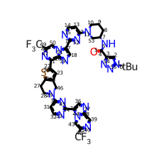 CC(C)(C)n1cc(C(=O)N[C@H]2CCCN(c3ccnc(-c4cnc5c(-c6cc7c(s6)CCN(c6ccnc(-c8cnc9cnc(C(F)(F)F)cn89)n6)C7)nc(C(F)(F)F)cn45)n3)C2)nn1